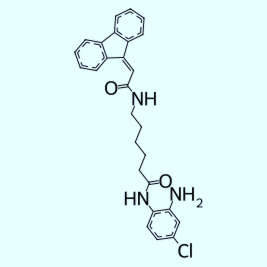 Nc1cc(Cl)ccc1NC(=O)CCCCCNC(=O)C=C1c2ccccc2-c2ccccc21